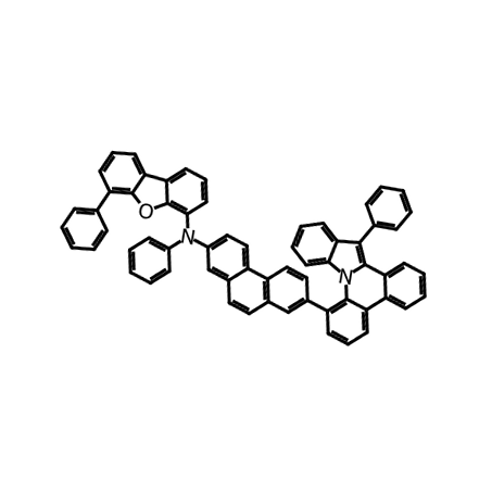 c1ccc(-c2cccc3c2oc2c(N(c4ccccc4)c4ccc5c(ccc6cc(-c7cccc8c9ccccc9c9c(-c%10ccccc%10)c%10ccccc%10n9c78)ccc65)c4)cccc23)cc1